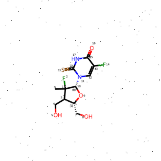 CC1(F)C(CO)[C@@H](CO)O[C@H]1n1cc(F)c(=O)[nH]c1=S